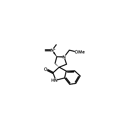 C=[N+](C)[C@@H]1C[C@@]2(CN1COC)C(=O)Nc1ccccc12